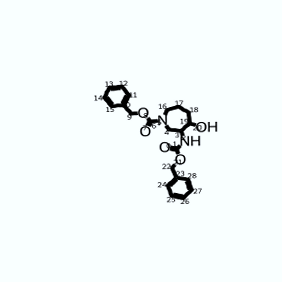 O=C(NC1CN(C(=O)OCc2ccccc2)CCCC1O)OCc1ccccc1